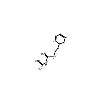 N=C(N)NC(=N)NCCC1C=CC=CC1